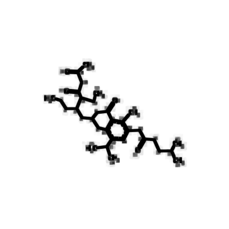 CCCC(CC1CC(=O)c2c(C)c(CC(=O)CCC(C)C)cc(C(C)C)c2C1)C(CC)C(=O)CC(C)=O